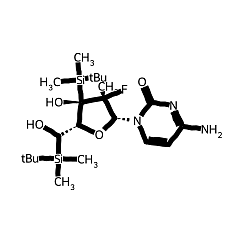 CC(C)(C)[Si](C)(C)C(O)[C@H]1O[C@@H](n2ccc(N)nc2=O)[C@@](C)(F)[C@@]1(O)[Si](C)(C)C(C)(C)C